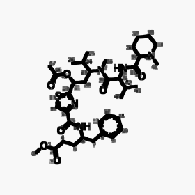 COC(=O)CCC(Cc1ccccc1)NC(=O)c1csc(C(CC(C(C)C)N(C)C(=O)C(NC(=O)C2CCCCN2C)C(C)C)OC(C)=O)n1